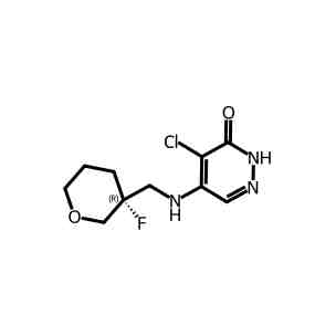 O=c1[nH]ncc(NC[C@]2(F)CCCOC2)c1Cl